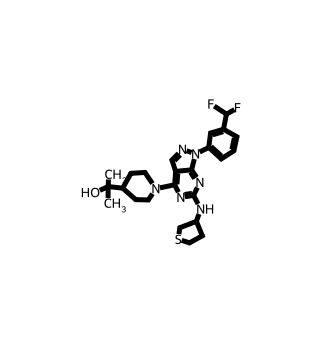 CC(C)(O)C1CCN(c2nc(NC3CCSC3)nc3c2cnn3-c2cccc(C(F)F)c2)CC1